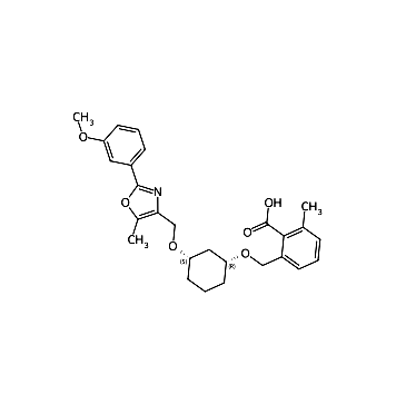 COc1cccc(-c2nc(CO[C@H]3CCC[C@@H](OCc4cccc(C)c4C(=O)O)C3)c(C)o2)c1